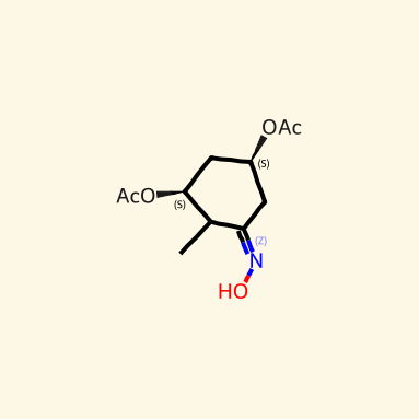 CC(=O)O[C@H]1C/C(=N/O)C(C)[C@@H](OC(C)=O)C1